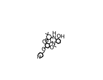 CC(=O)N1c2cccc(O)c2NC2=C(C(=O)CC(C)(C)C2)C1c1ccc(OCc2ccncc2)cc1Cl